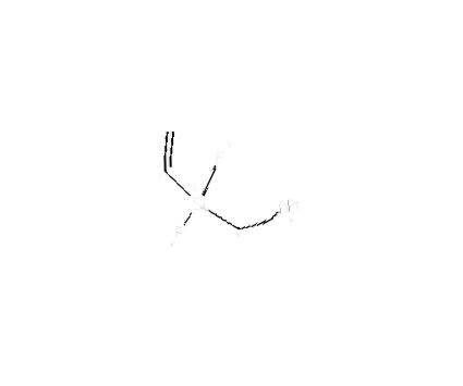 C=C[Si](F)(F)CCCC